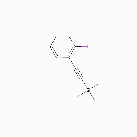 Cc1ccc(I)c(C#C[Si](C)(C)C)c1